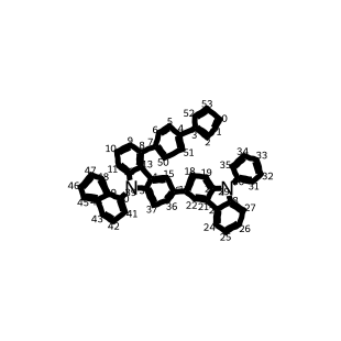 c1ccc(-c2ccc(-c3cccc4c3c3cc(-c5ccc6c(c5)c5ccccc5n6-c5ccccc5)ccc3n4-c3cccc4ccccc34)cc2)cc1